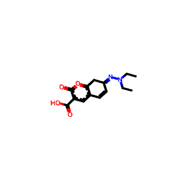 CCN(CC)N=C1C=Cc2cc(C(=O)O)c(=O)oc2C1